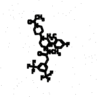 CC(=O)N1CCC(N2CC[C@@H](N(C)C(=O)Cc3cc(C(F)(F)F)cc(C(F)(F)F)c3)[C@H](c3ccc(F)cc3C)C2)CC1